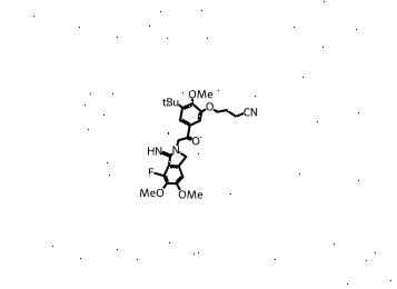 COc1cc2c(c(F)c1OC)C(=N)N(CC(=O)c1cc(OCCCC#N)c(OC)c(C(C)(C)C)c1)C2